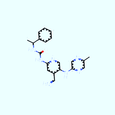 Cc1cnc(Nc2cnc(NC(=O)NC(C)c3ccccc3)cc2C=N)cn1